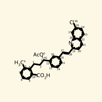 CC(=O)O[C@@H](CCc1c(C)cccc1C(=O)O)c1cccc(C=Cc2ccc3ccc(Cl)cc3n2)c1